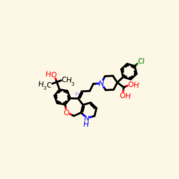 CC(C)(O)c1ccc2c(c1)/C(=C/CCN1CCC(c3ccc(Cl)cc3)(C(O)O)CC1)C1=C(CO2)NCC=C1